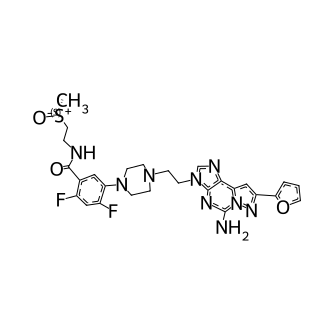 C[S@@+]([O-])CCNC(=O)c1cc(N2CCN(CCn3cnc4c3nc(N)n3nc(-c5ccco5)cc43)CC2)c(F)cc1F